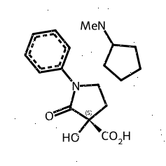 CNC1CCCC1.O=C(O)[C@]1(O)CCN(c2ccccc2)C1=O